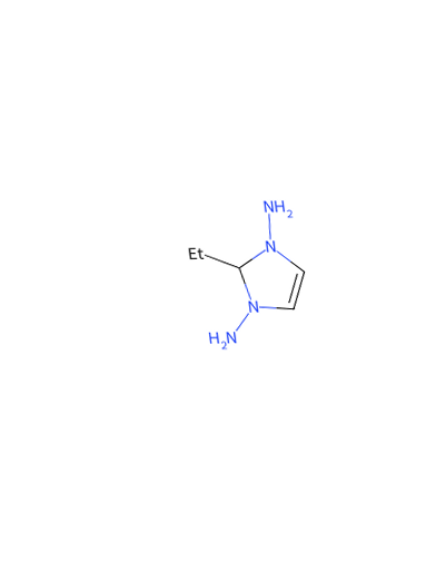 CCC1N(N)C=CN1N